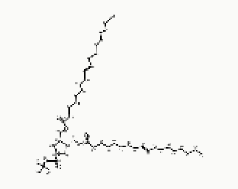 CCCCCCCCC=CCCCCCCCC(=O)OC[C@@H]1CN(C(=O)OC(C)(C)C)C[C@H]1COC(=O)CCCCCCCC=CCCCCCCCC